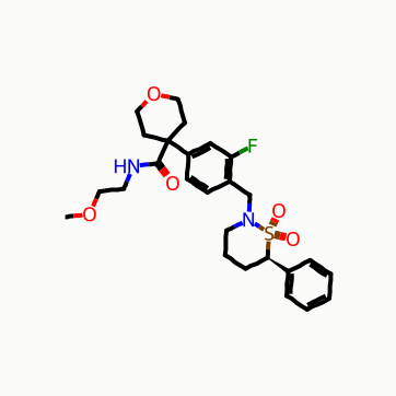 COCCNC(=O)C1(c2ccc(CN3CCC[C@H](c4ccccc4)S3(=O)=O)c(F)c2)CCOCC1